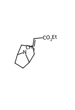 CCOC(=O)C=C1CC2CCC(C1)N2C